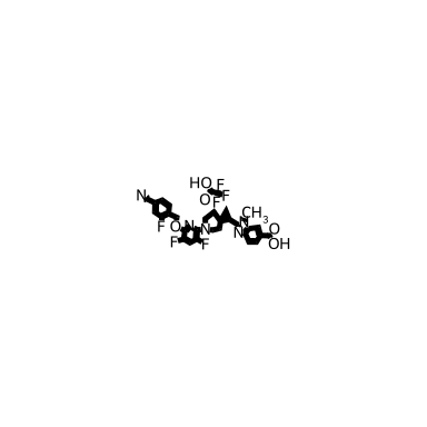 Cn1c(C2CC23CCN(c2nc(OCc4ccc(C#N)cc4F)c(F)cc2F)CC3)nc2ccc(C(=O)O)cc21.O=C(O)C(F)(F)F